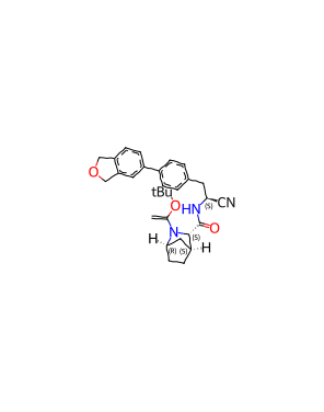 C=C(OC(C)(C)C)N1[C@@H]2CC[C@@H](C2)[C@H]1C(=O)N[C@H](C#N)Cc1ccc(-c2ccc3c(c2)COC3)cc1